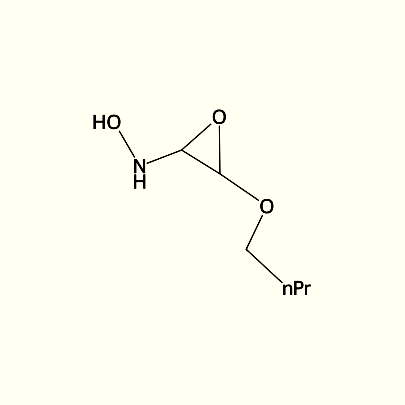 CCCCOC1OC1NO